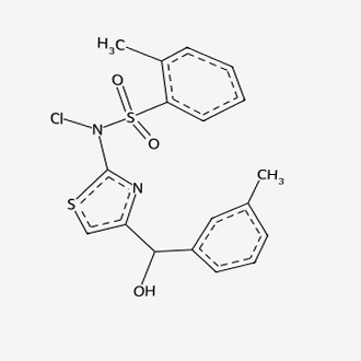 Cc1cccc(C(O)c2csc(N(Cl)S(=O)(=O)c3ccccc3C)n2)c1